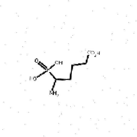 NC(CCCC(=O)O)P(=O)(O)O